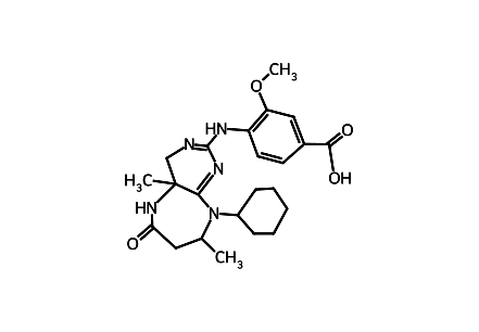 COc1cc(C(=O)O)ccc1NC1=NCC2(C)NC(=O)CC(C)N(C3CCCCC3)C2=N1